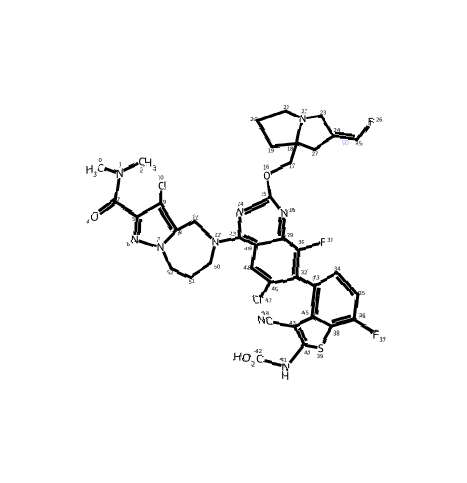 CN(C)C(=O)c1nn2c(c1Cl)CN(c1nc(OCC34CCCN3C/C(=C\F)C4)nc3c(F)c(-c4ccc(F)c5sc(NC(=O)O)c(C#N)c45)c(Cl)cc13)CCC2